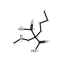 CCCCC(CNC)(C(=O)O)C(=O)O